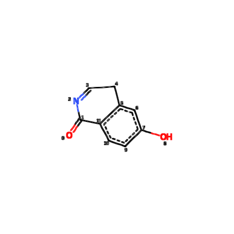 O=C1N=CCc2cc(O)ccc21